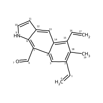 C=Cc1cc2c(C=O)c3[nH]ccc3cc2c(C=C)c1C